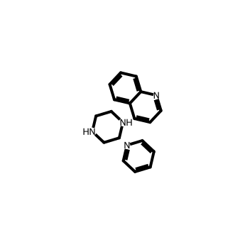 C1CNCCN1.c1ccc2ncccc2c1.c1ccncc1